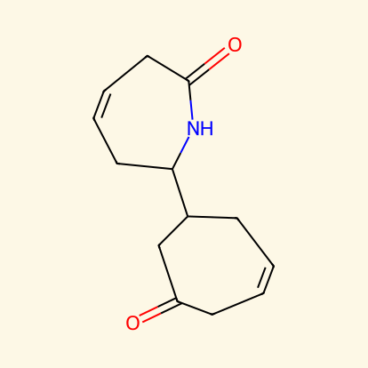 O=C1CC=CCC(C2CC=CCC(=O)N2)C1